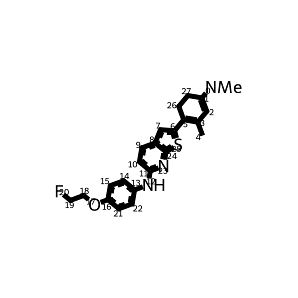 CNC1=CC(C)=C(c2cc3ccc(Nc4ccc(OCCF)cc4)nc3s2)CC1